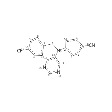 N#Cc1ccc(N(Cc2ccc(Cl)cc2)c2cncnc2)cc1